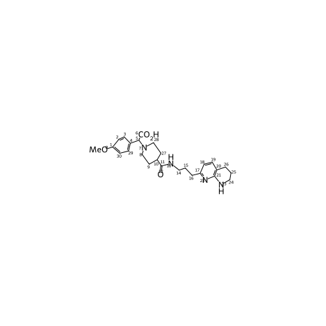 COc1ccc(C(C(=O)O)N2CCC(C(=O)NCCCc3ccc4c(n3)NCCC4)CC2)cc1